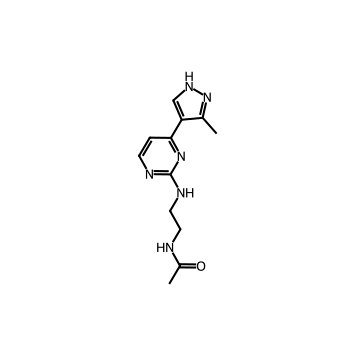 CC(=O)NCCNc1nccc(-c2c[nH]nc2C)n1